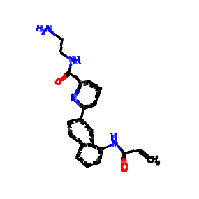 C=CC(=O)Nc1cccc2ccc(-c3cccc(C(=O)NCCN)n3)cc12